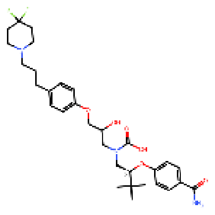 CC(C)(C)[C@@H](CN(CC(O)COc1ccc(CCCN2CCC(F)(F)CC2)cc1)C(=O)O)Oc1ccc(C(N)=O)cc1